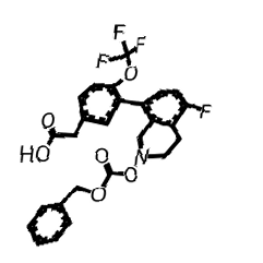 O=C(O)Cc1ccc(OC(F)(F)F)c(-c2ccc(F)c3c2CN(OC(=O)OCc2ccccc2)CC3)c1